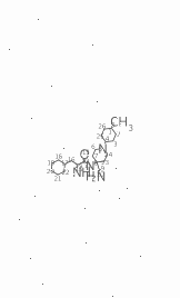 CC1CCC(N2CCC(C#N)(NC(=O)C(N)CC3CCCCC3)CC2)CC1